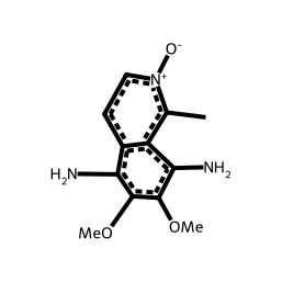 COc1c(OC)c(N)c2c(C)[n+]([O-])ccc2c1N